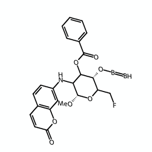 B=BO[C@@H]1C(CF)O[C@H](OC)C(Nc2ccc3ccc(=O)oc3c2)C1OC(=O)c1ccccc1